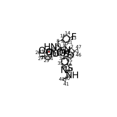 CC1(CN(C[C@@H](O)[C@H](Cc2ccc(F)cc2)NC(=O)OC2C3COC4OCC2C4C3)S(=O)(=O)c2ccc3nc(NC4CC4)sc3c2)CC1